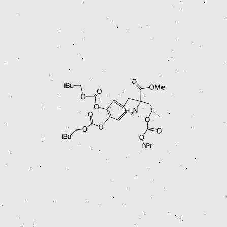 CCCOC(=O)O[C@@H](C)CC(N)(Cc1ccc(OC(=O)OCC(C)CC)c(OC(=O)OCC(C)CC)c1)C(=O)OC